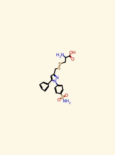 NC(CSSCc1cc(-c2ccccc2)n(-c2ccc(S(N)(=O)=O)cc2)n1)C(=O)O